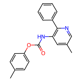 Cc1ccc(OC(=O)Nc2cc(C)cnc2-c2ccccc2)cc1